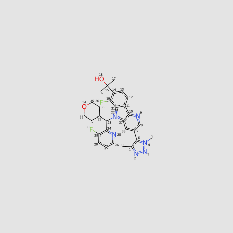 Cc1nnn(C)c1-c1cnc2c3ccc(C(C)(C)O)c(F)c3n(C(c3ncccc3F)C3CCOCC3)c2c1